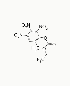 Cc1cc([N+](=O)[O-])c([N+](=O)[O-])c([N+](=O)[O-])c1OC(=O)OCC(F)(F)F